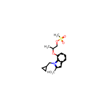 CC(COS(C)(=O)=O)Oc1cccc2cc(C(=O)O)n(CC3CC3)c12